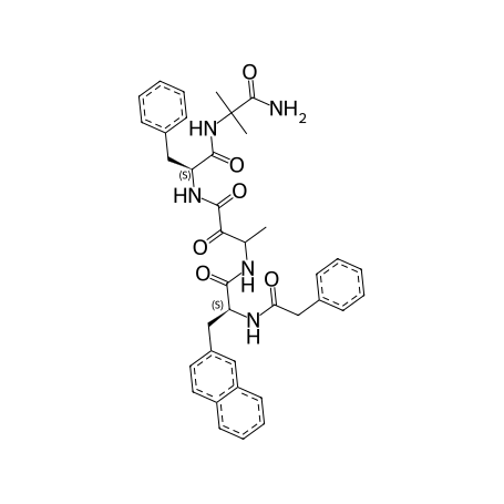 CC(NC(=O)[C@H](Cc1ccc2ccccc2c1)NC(=O)Cc1ccccc1)C(=O)C(=O)N[C@@H](Cc1ccccc1)C(=O)NC(C)(C)C(N)=O